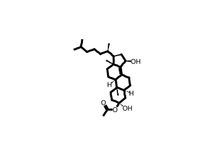 CC(=O)O[C@@]1(O)CC[C@@]2(C)[C@@H](CCC3=C4[C@H](O)C[C@H]([C@H](C)CCCC(C)C)[C@@]4(C)CC[C@@H]32)C1